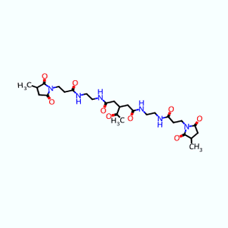 CC(=O)C(CC(=O)NCCNC(=O)CCN1C(=O)CC(C)C1=O)CC(=O)NCCNC(=O)CCN1C(=O)CC(C)C1=O